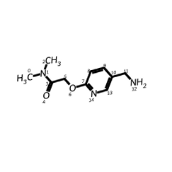 CN(C)C(=O)COc1ccc(CN)cn1